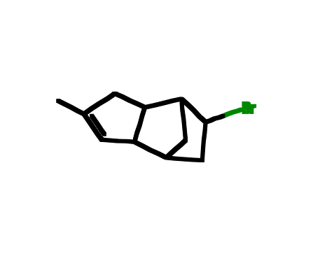 CC1=CC2C3CC(Br)C(C3)C2C1